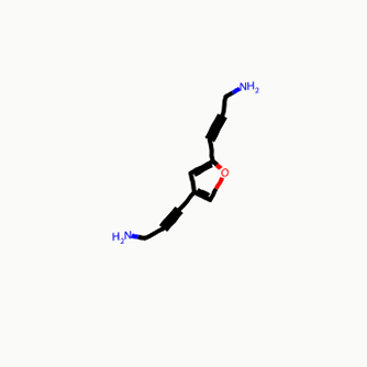 NCC#Cc1coc(C#CCN)c1